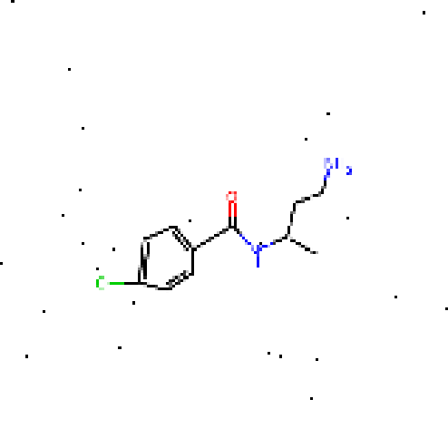 CC(CCN)NC(=O)c1ccc(Cl)cc1